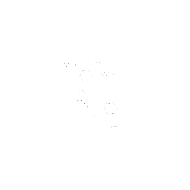 COc1cc(/C=C/C(=O)N2CCN(C(C)C(O)c3ccc4c(c3)CCCS4)CC2)cc(OC)c1OC